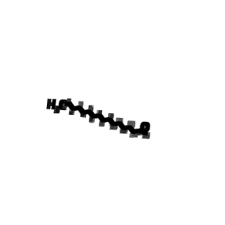 CCCCCCCCCCCCCCC[C]1CO1